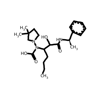 CCCCC(C(O)C(=O)N[C@H](C)c1ccccc1)N(C(=O)O)N1CCC(C)(C)C1